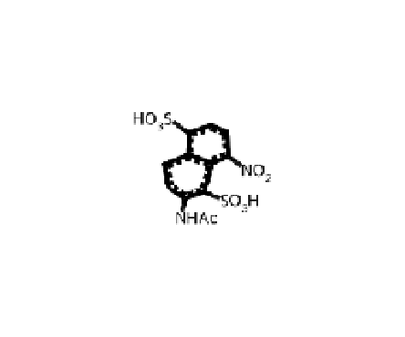 CC(=O)Nc1ccc2c(S(=O)(=O)O)ccc([N+](=O)[O-])c2c1S(=O)(=O)O